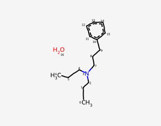 CCCN(CCC)CCCc1ccccc1.O